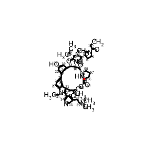 C=CC(=O)N1CC[C@H](C(=O)N(C)[C@H](C(=O)N[C@H]2Cc3cc(O)cc(c3)-c3ccc4c(c3)c(c(-c3cncc(CCN(C)C)c3)n4CC)CC(C)(C)COC(=O)[C@@H]3CCCN(N3)C2=O)C(C)C)C1